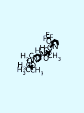 C[C@@H]1C[C@H](NC(=O)C(C)(C)COc2ncccc2OC(F)(F)F)CCN1C(=O)OC(C)(C)C